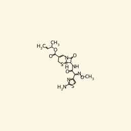 C=CC(C)OC(=O)C1=CN2C(=O)C(NC(=O)C(=NOC)c3csc(N)n3)[C@H]2SC1